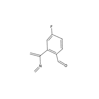 C=NC(=C)c1cc(F)ccc1C=O